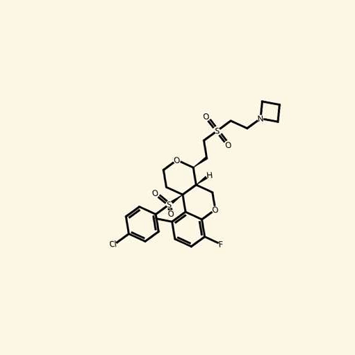 O=S(=O)(CC[C@@H]1OCC[C@@]2(S(=O)(=O)c3ccc(Cl)cc3)c3c(F)ccc(F)c3OC[C@@H]12)CCN1CCC1